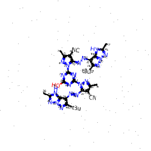 [C-]#[N+]c1c(C)nn(-c2nc(O)nc(-n3nc(C)c(C#N)c3/N=N/c3c(C(C)(C)C)nn4nc(C)[nH]c34)n2)c1/N=N/c1c(C(C)(C)C)nn2nc(C)[nH]c12